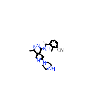 Cc1c(C#N)cccc1[C@@H](C)Nc1nnc(C)c2cnc(N3CCNCC3)cc12